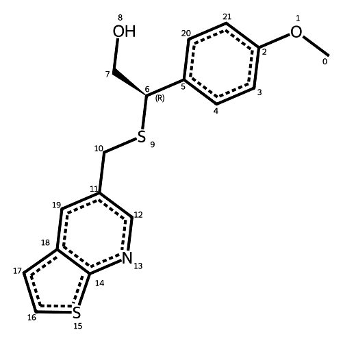 COc1ccc([C@H](CO)SCc2cnc3sccc3c2)cc1